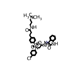 CN(C)CCCNC(=O)CCc1ccc(S(=O)(=O)N(CC(=O)N/N=C2\C(=O)Nc3ccccc32)c2ccc(Cl)cc2)cc1